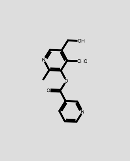 Cc1ncc(CO)c(C=O)c1OC(=O)c1cccnc1